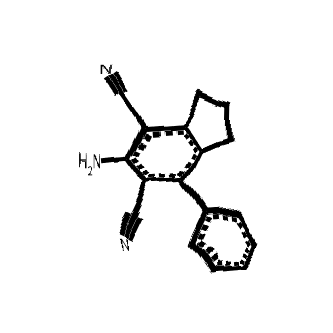 N#Cc1c(N)c(C#N)c(-c2ccccc2)c2c1CCC2